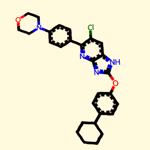 Clc1cc2[nH]c(Oc3ccc(C4CCCCC4)cc3)nc2nc1-c1ccc(N2CCOCC2)cc1